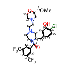 COC[C@@H]1CN(CCN2CCN(C(=O)c3cc(C(F)(F)F)cc(C(F)(F)F)c3)[C@H](Cc3ccc(Cl)c(O)c3)C2)CCO1